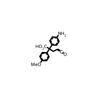 COc1ccc(C(CC=C=O)(C(=O)O)c2ccc(N)cc2)cc1